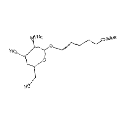 COCCCCCOC1OC(CO)CC(O)C1NC(C)=O